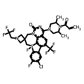 C=CC(=O)N1C(C)CN(c2nc(=O)n3c4c5c(c(C(F)(F)F)cc24)-c2cc(Cl)c(F)cc2S5(F)CC2(CN(CC(F)(F)F)C2)C3)CC1C